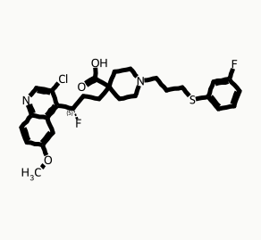 COc1ccc2ncc(Cl)c([C@@H](F)CCC3(C(=O)O)CCN(CCCSc4cccc(F)c4)CC3)c2c1